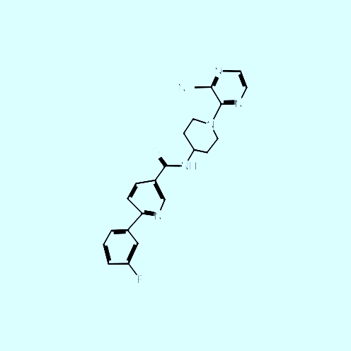 N#Cc1nccnc1N1CCC(NC(=O)c2ccc(-c3cccc(F)c3)nc2)CC1